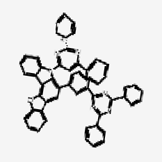 C1=CC[C@@H](c2nc(-c3ccccc3)cc(-n3c4ccccc4c4c5oc6ccccc6c5cc(-c5cccc(-c6nc(-c7ccccc7)nc(-c7ccccc7)n6)c5)c43)n2)C=C1